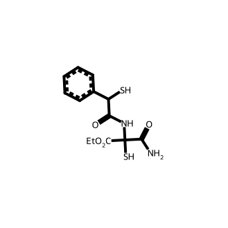 CCOC(=O)C(S)(NC(=O)C(S)c1ccccc1)C(N)=O